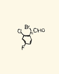 O=C[C@@H](Br)c1ccc(F)cc1Cl